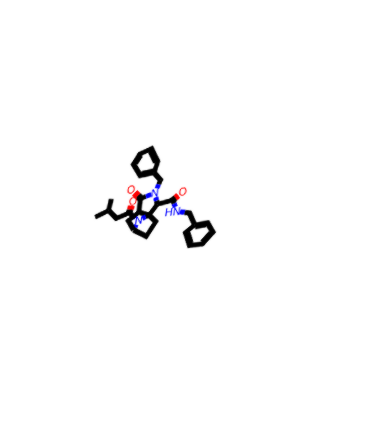 CC(C)CC(=O)N1C2CCC13C(C2)C(=O)N(Cc1ccccc1)C3C(=O)NCc1ccccc1